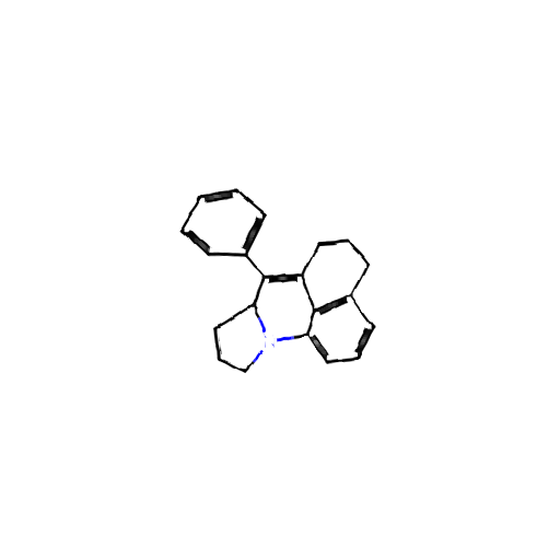 c1ccc(C2=C3CCCc4cccc(c43)N3CCCC23)cc1